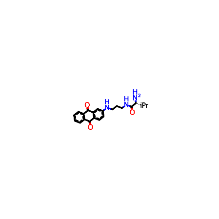 CC(C)[C@@H](N)C(=O)NCCCNc1ccc2c(c1)C(=O)c1ccccc1C2=O